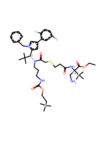 CCOC(=O)[C@@](CN)(NC(=O)CCSCC(=O)N(CCCNC(=O)OCC[Si](C)(C)C)[C@@H](c1cc(-c2cc(F)ccc2F)cn1Cc1ccccc1)C(C)(C)C)[Si](C)(C)C